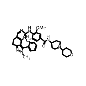 COc1cc(C(=O)NC2CCN(C3CCOCC3)CC2)ccc1Nc1ncc2c(n1)-c1c(nn(C)c1-c1ccccc1C)CC2